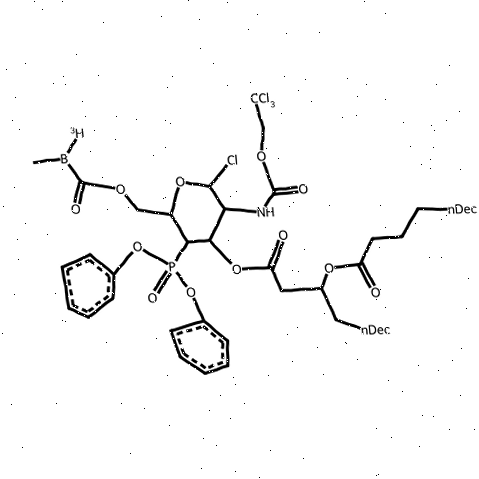 [3H]B(C)C(=O)OCC1OC(Cl)C(NC(=O)OCC(Cl)(Cl)Cl)C(OC(=O)CC(CCCCCCCCCCC)OC(=O)CCCCCCCCCCCCC)C1P(=O)(Oc1ccccc1)Oc1ccccc1